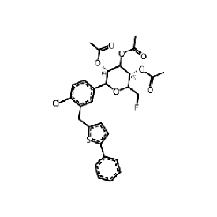 CC(=O)OC1[C@H](OC(C)=O)C(CF)OC(c2ccc(Cl)c(Cc3ccc(-c4ccccc4)s3)c2)[C@@H]1OC(C)=O